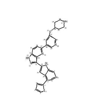 c1csc(-c2cncc3[nH]c(-c4n[nH]c5ccc(-c6cncc(OC7CCNCC7)c6)nc45)cc23)c1